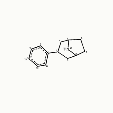 c1cc(C2CC3CCC(C2)N3)ccn1